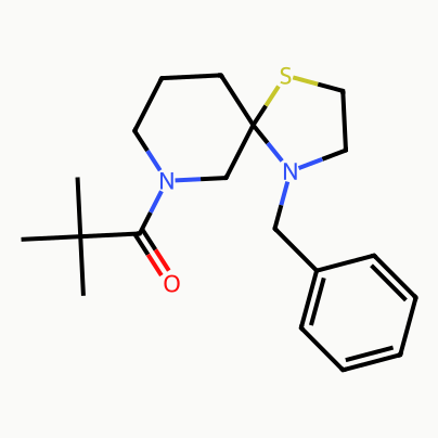 CC(C)(C)C(=O)N1CCCC2(C1)SCCN2Cc1ccccc1